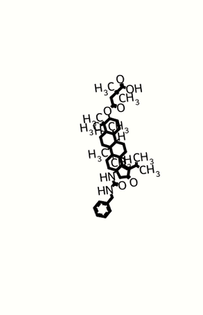 CC(C)C1=C2[C@H]3CC[C@@H]4[C@@]5(C)CC[C@H](OC(=O)CC(C)(C)C(=O)O)C(C)(C)[C@@H]5CC[C@@]4(C)[C@]3(C)CC[C@@]2(NC(=O)NCc2ccccc2)CC1=O